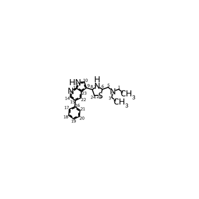 CCN(CC)CC1NC(c2c[nH]c3ncc(-c4ccccc4)cc23)CS1